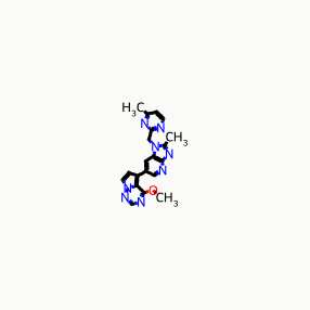 COc1ncnn2ccc(-c3cnc4nc(C)n(Cc5nccc(C)n5)c4c3)c12